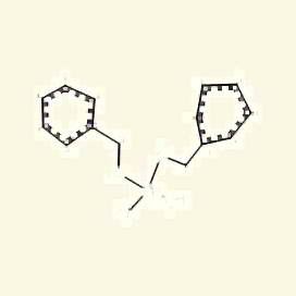 O[PH](Cl)(OCc1ccccc1)OCc1ccccc1